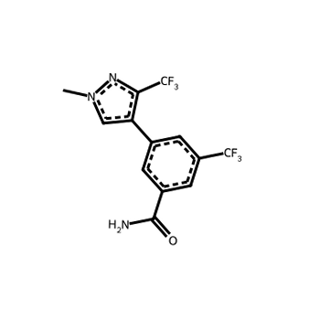 Cn1cc(-c2cc(C(N)=O)cc(C(F)(F)F)c2)c(C(F)(F)F)n1